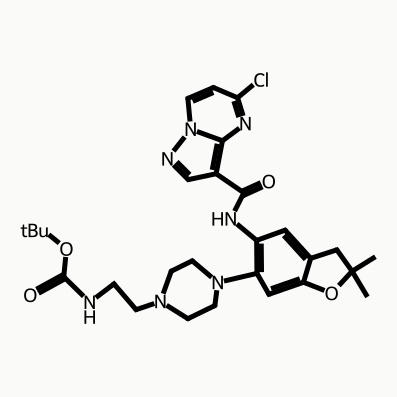 CC(C)(C)OC(=O)NCCN1CCN(c2cc3c(cc2NC(=O)c2cnn4ccc(Cl)nc24)CC(C)(C)O3)CC1